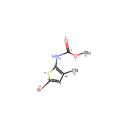 CC(C)(C)OC(=O)Nc1sc(Br)cc1C#N